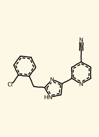 N#Cc1ccnc(-c2c[nH]c(Cc3ccccc3Cl)n2)c1